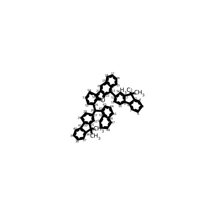 CC1(C)c2ccccc2-c2ccc(-c3c4ccccc4cc4c3oc3c(C(c5ccc6c(c5)C(C)(C)c5ccccc5-6)c5cccc6ccccc56)cccc34)cc21